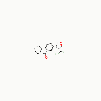 C1CCOC1.ClCCl.O=C1C2=C(CCCC2)c2ccccc21